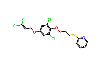 ClC(Cl)=CCOc1cc(Cl)c(OCCCSc2ccccn2)c(Cl)c1